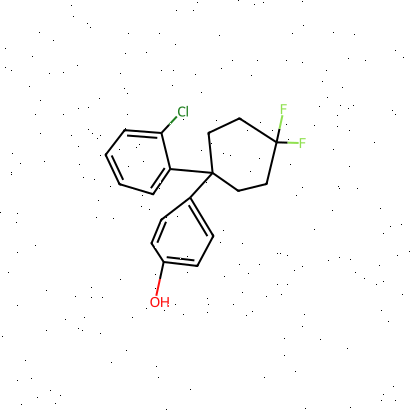 Oc1ccc(C2(c3ccccc3Cl)CCC(F)(F)CC2)cc1